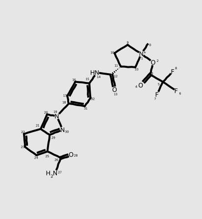 C[N+]1(OC(=O)C(F)(F)F)CC[C@@H](C(=O)Nc2ccc(-n3cc4cccc(C(N)=O)c4n3)cc2)C1